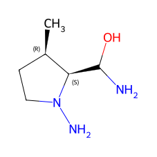 C[C@@H]1CCN(N)[C@@H]1C(N)O